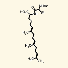 CC(=O)N[C@H](C(=O)N[C@@H](CSC/C=C(\C)CC/C=C(\C)CCC=C(C)C)C(=O)O)C(C)C